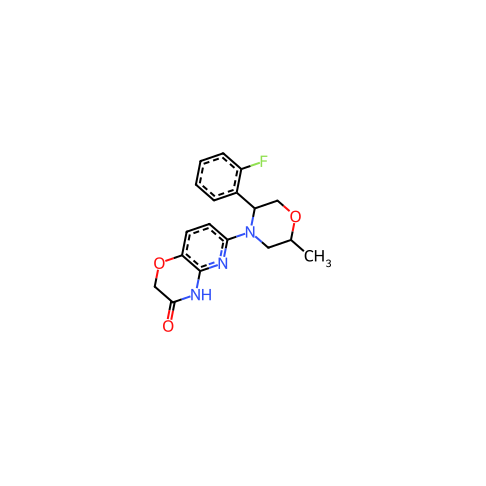 CC1CN(c2ccc3c(n2)NC(=O)CO3)C(c2ccccc2F)CO1